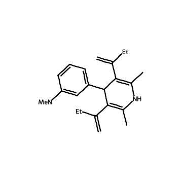 C=C(CC)C1=C(C)NC(C)=C(C(=C)CC)C1c1cccc(NC)c1